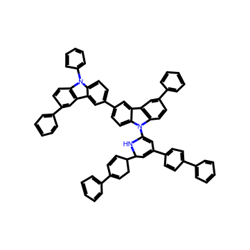 C1=CC(C2C=C(c3ccc(-c4ccccc4)cc3)C=C(n3c4ccc(-c5ccccc5)cc4c4cc(-c5ccc6c(c5)c5cc(-c7ccccc7)ccc5n6-c5ccccc5)ccc43)N2)CC=C1c1ccccc1